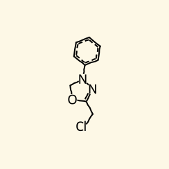 ClCC1=NN(c2ccccc2)CO1